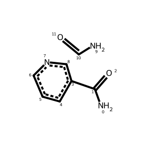 NC(=O)c1cccnc1.NC=O